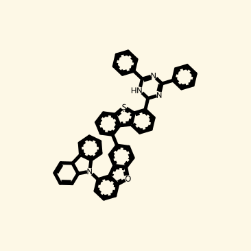 C1=CC2c3ccccc3N(c3cccc4oc5ccc(-c6cccc7sc8c(C9N=C(c%10ccccc%10)N=C(c%10ccccc%10)N9)cccc8c67)cc5c34)C2C=C1